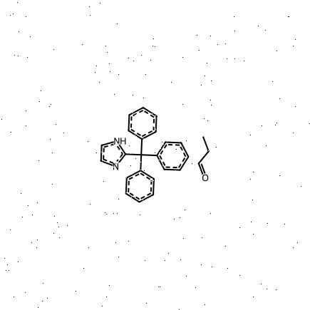 CCC=O.c1ccc(C(c2ccccc2)(c2ccccc2)c2ncc[nH]2)cc1